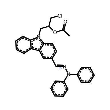 CC(=O)OC(CCl)Cn1c2ccccc2c2cc(/C=N/N(c3ccccc3)c3ccccc3)ccc21